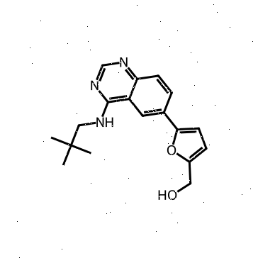 CC(C)(C)CNc1ncnc2ccc(-c3ccc(CO)o3)cc12